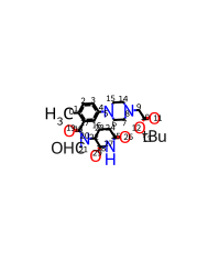 Cc1ccc(N2CCN(CC(=O)OC(C)(C)C)CC2)cc1C(=O)N(C=O)C1CCC(=O)NC1=O